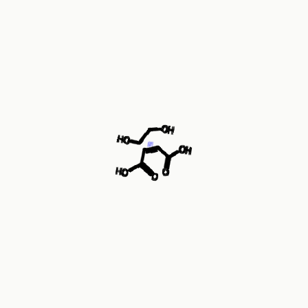 O=C(O)/C=C\C(=O)O.OCCO